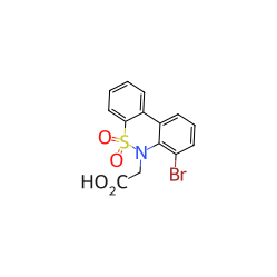 O=C(O)CN1c2c(Br)cccc2-c2ccccc2S1(=O)=O